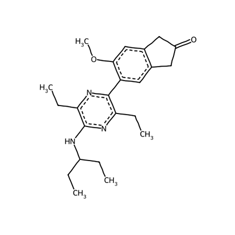 CCc1nc(-c2cc3c(cc2OC)CC(=O)C3)c(CC)nc1NC(CC)CC